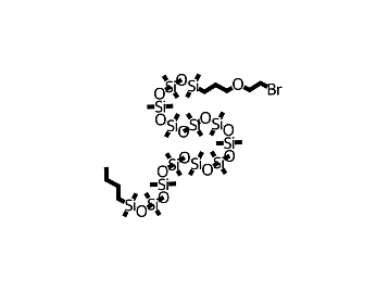 CCCC[Si](C)(C)O[Si](C)(C)O[Si](C)(C)O[Si](C)(C)O[Si](C)(C)O[Si](C)(C)O[Si](C)(C)O[Si](C)(C)O[Si](C)(C)O[Si](C)(C)O[Si](C)(C)O[Si](C)(C)O[Si](C)(C)CCCOCCBr